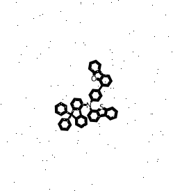 c1ccc(C2(c3ccccc3)c3ccccc3-c3c(N(c4ccc(-c5cccc6c5oc5ccccc56)cc4)c4cccc5c4sc4ccccc45)cccc32)cc1